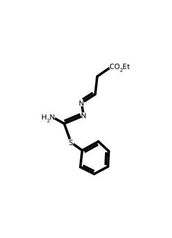 CCOC(=O)CC=NN=C(N)Sc1ccccc1